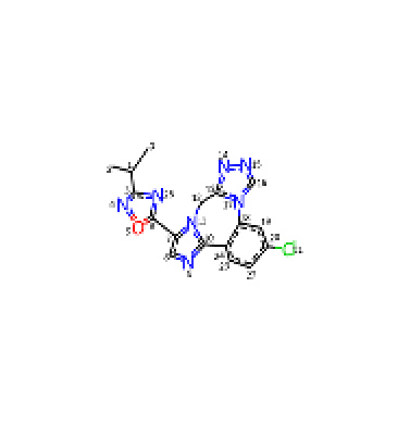 CC(C)c1noc(-c2cnc3n2Cc2nncn2-c2cc(Cl)ccc2-3)n1